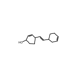 OC1C=CC(C=CC2CC=CCC2)CC1